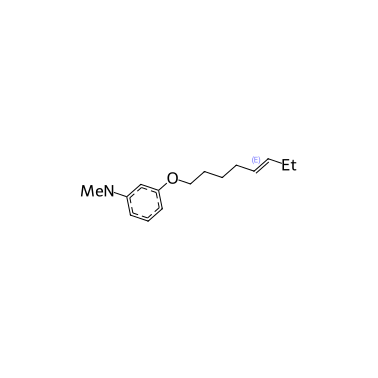 CC/C=C/CCCCOc1cccc(NC)c1